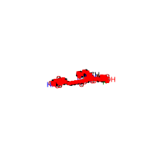 CC(C)(C)[C@H](NC(=O)c1cc2cc(C(F)(F)P(=O)(O)O)ccc2s1)C(=O)N1C[C@@H](OCC(=O)NCCCCCC#Cc2ccc3c(c2)C(=O)N(C2CCC(=O)NC2=O)C3=O)C[C@H]1C(=O)N1CCC[C@H](c2ccccc2)C1